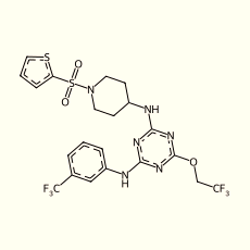 O=S(=O)(c1cccs1)N1CCC(Nc2nc(Nc3cccc(C(F)(F)F)c3)nc(OCC(F)(F)F)n2)CC1